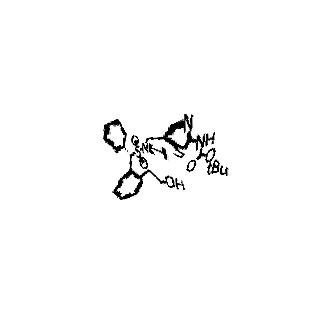 CC(C)(C)OC(=O)Nc1ncc(CNS(=O)(=O)[C@@H](c2ccccc2)c2ccccc2CCO)s1